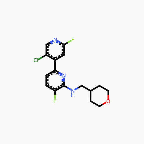 Fc1cc(-c2ccc(F)c(NCC3CCOCC3)n2)c(Cl)cn1